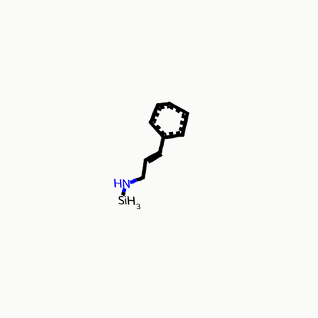 [SiH3]NCC=Cc1ccccc1